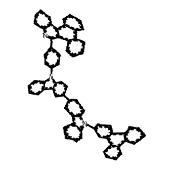 c1ccc2c(c1)nc(-c1ccc(-n3c4ccccc4c4cc(-c5ccc6c(c5)c5ccccc5n6-c5ccc6c7ccccc7c7ccccc7c6c5)ccc43)cc1)c1c3ccccc3c3ccccc3c21